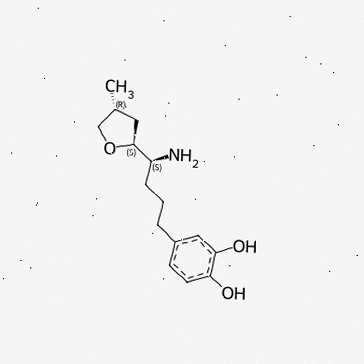 C[C@H]1CO[C@H]([C@@H](N)CCCc2ccc(O)c(O)c2)C1